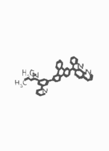 C=N/C(=C\C=C/C)c1cc(-c2ccc3c4ccc(-c5c6ccccc6nc6c5ccc5cccnc56)cc4c4ccccc4c3c2)cc(-c2ccccn2)c1